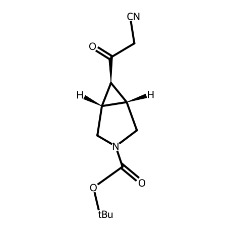 CC(C)(C)OC(=O)N1C[C@@H]2[C@H](C1)[C@H]2C(=O)CC#N